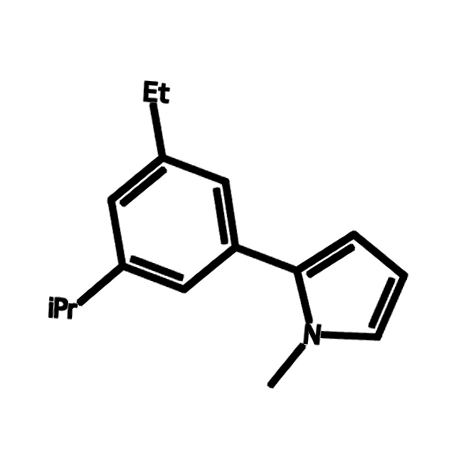 CCc1cc(-c2cccn2C)cc(C(C)C)c1